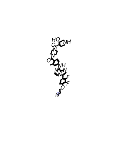 C/N=C/COc1ccc(-c2cnc3c(Nc4ccc(C(=O)N5CCN(C(=O)[C@@H]6CCNC[C@H]6O)CC5)c(C)c4)nccn23)c(F)c1F